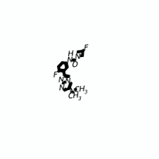 CN(C)c1cnc2nc(-c3cc(NC(=O)N4CC(F)C4)ccc3F)cn2c1